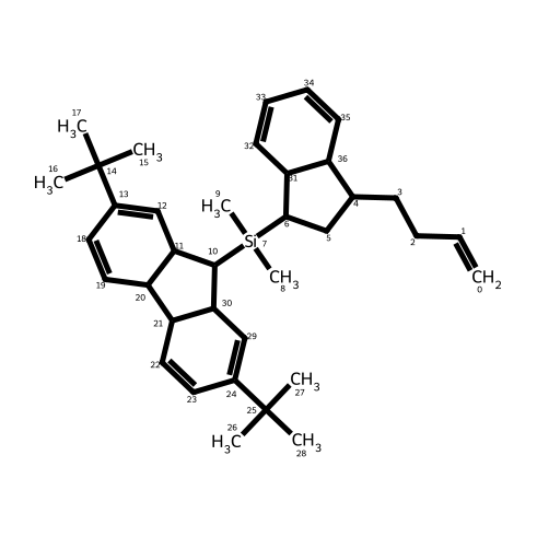 C=CCCC1CC([Si](C)(C)C2C3C=C(C(C)(C)C)C=CC3C3C=CC(C(C)(C)C)=CC32)C2C=CC=CC12